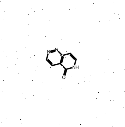 O=c1[nH]ccc2nnccc12